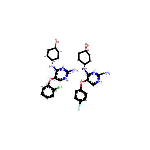 Nc1ncc(Oc2ccc(F)cc2)c(N[C@H]2CC[C@H](O)CC2)n1.Nc1ncc(Oc2ccccc2Cl)c(N[C@H]2CC[C@H](O)CC2)n1